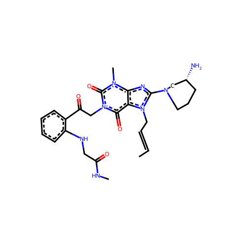 CC=CCn1c(N2CCC[C@@H](N)C2)nc2c1c(=O)n(CC(=O)c1ccccc1NCC(=O)NC)c(=O)n2C